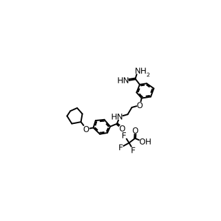 N=C(N)c1cccc(OCCNC(=O)c2ccc(OC3CCCCC3)cc2)c1.O=C(O)C(F)(F)F